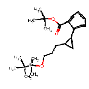 CC(C)(C)OC(=O)c1ccccc1C1CC1CCCO[Si](C)(C)C(C)(C)C